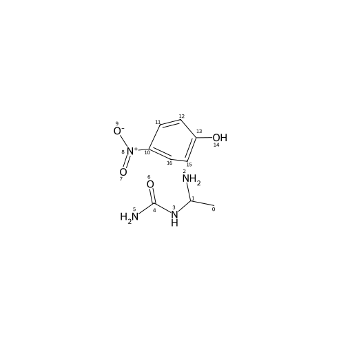 CC(N)NC(N)=O.O=[N+]([O-])c1ccc(O)cc1